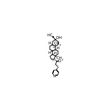 C#C[C@@]1(O)CC[C@@]2(C)[C@@H](CC[C@@H]3[C@@H]2CC[C@]2(C)[C@@H](C(=O)CSc4ccncc4)CC[C@@H]32)C1